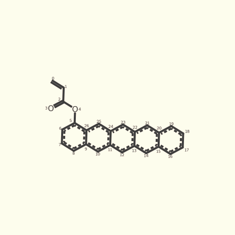 C=CC(=O)Oc1cccc2cc3cc4cc5ccccc5cc4cc3cc12